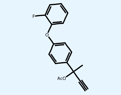 C#CC(C)(OC(C)=O)c1ccc(Oc2ccccc2F)cc1